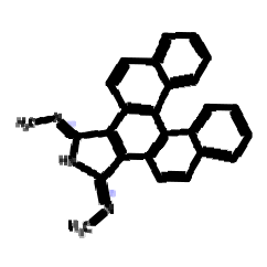 C/N=C1\N/C(=N\C)c2c1c1ccc3ccccc3c1c1c2ccc2ccccc21